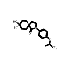 CC[C@]1(O)CC[C@]2(CCN(c3ccc(OC(C)C(F)(F)F)cc3)C2=O)CC1